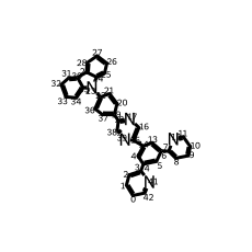 c1ccc(-c2cc(-c3ccccn3)cc(-c3cnc(-c4ccc(-n5c6ccccc6c6ccccc65)cc4)cn3)c2)nc1